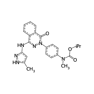 Cc1cc(Nc2nn(-c3ccc(N(C)C(=O)OC(C)C)cc3)c(=O)c3ccccc23)n[nH]1